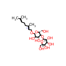 CC(C)=CCC/C(C)=C/COC1O[C@H](CO)[C@@H](OC2O[C@H](CO)[C@@H](O)[C@H](O)[C@H]2O)[C@H](O)[C@H]1O